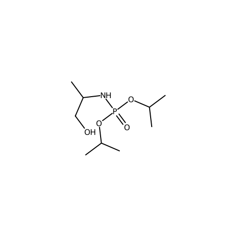 CC(CO)NP(=O)(OC(C)C)OC(C)C